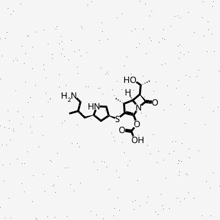 CC(CN)C[C@@H]1C[C@H](SC2=C(OC(=O)O)N3C(=O)[C@H]([C@@H](C)O)[C@@H]3[C@H]2C)CN1